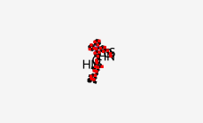 CCc1cc(Cc2cc(C)c(C(C)(C)C)c(CC)c2)cc(C)c1NC(=S)OCc1ccc(/C(=C(/c2ccccc2)c2ccc(COC(=S)NC)cc2)c2ccccc2)cc1